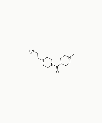 CN1CCC(C(=O)N2CCN(CCN)CC2)CC1